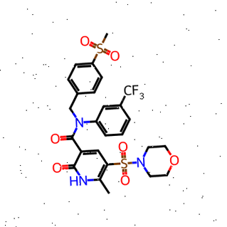 Cc1[nH]c(=O)c(C(=O)N(Cc2ccc(S(C)(=O)=O)cc2)c2cccc(C(F)(F)F)c2)cc1S(=O)(=O)N1CCOCC1